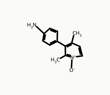 Cc1cc[n+]([O-])c(C)c1-c1ccc(N)cc1